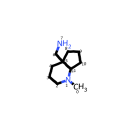 CN1CCCC2(CN)CCCC12